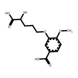 COc1ccc(C(=O)O)cc1OCCCC(S)C(=O)O